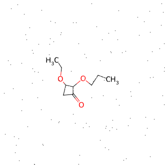 CCCOC1C(=O)CC1OCC